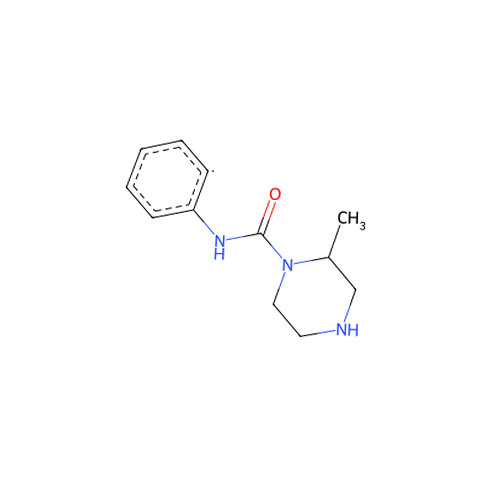 CC1CNCCN1C(=O)Nc1[c]cccc1